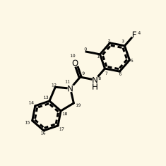 Cc1cc(F)ccc1NC(=O)N1Cc2ccccc2C1